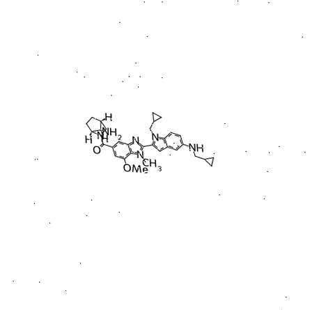 COc1cc(C(=O)N2C[C@H]3CC[C@@H]2[C@H]3N)cc2nc(-c3cc4cc(NCC5CC5)ccc4n3CC3CC3)n(C)c12